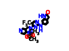 CN(c1ccncc1CNc1nc(Nc2ccc3c(c2)NC(=O)C3)ncc1C(F)(F)F)S(C)(=O)=O